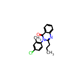 CCCc1nc2ccccc2c(=O)n1-c1ccc(Cl)cc1C